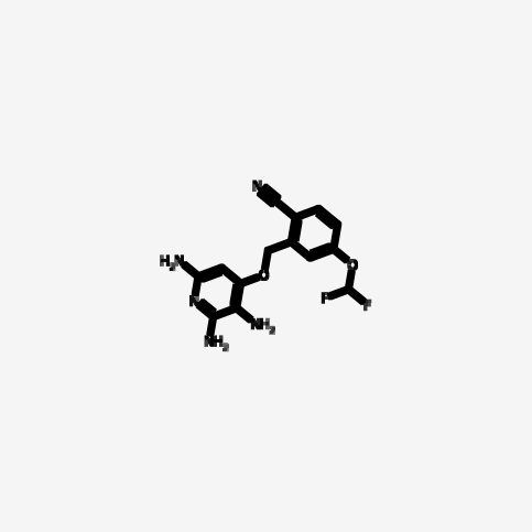 N#Cc1ccc(OC(F)F)cc1COc1cc(N)nc(N)c1N